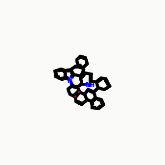 C1=CCC(C2=CC3C=CC=CC3c3ccccc32)C(C2=CC(C3CC=CCC3)=CC(C3=C(n4c5c(c6ccccc64)C=CCC5)CCC=C3)N2)=C1